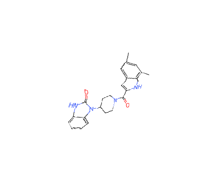 Cc1cc(C)c2[nH]c(C(=O)N3CCC(n4c(=O)[nH]c5ccccc54)CC3)cc2c1